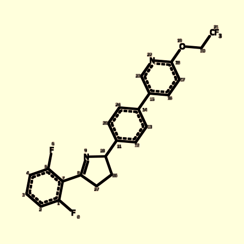 Fc1cccc(F)c1C1=NC(c2ccc(-c3ccc(OCC(F)(F)F)nc3)cc2)CC1